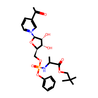 CC(=O)c1ccc[n+]([C@@H]2O[C@H](COP(=O)(NC(C)C(=O)OCC(C)(C)C)Oc3ccccc3)[C@@H](O)[C@H]2O)c1